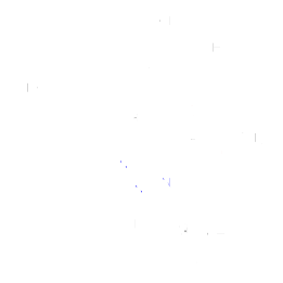 CCC[CH2][Sn]([CH2]CCC)([CH2]CCC)[c]1nnn(C[Si](C)(C)C)c1C(=O)OC